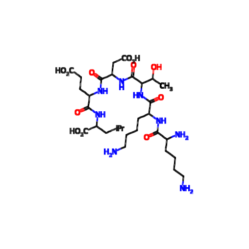 CC(C)CC(NC(=O)C(CCC(=O)O)NC(=O)C(CC(=O)O)NC(=O)C(NC(=O)C(CCCCN)NC(=O)C(N)CCCCN)C(C)O)C(=O)O